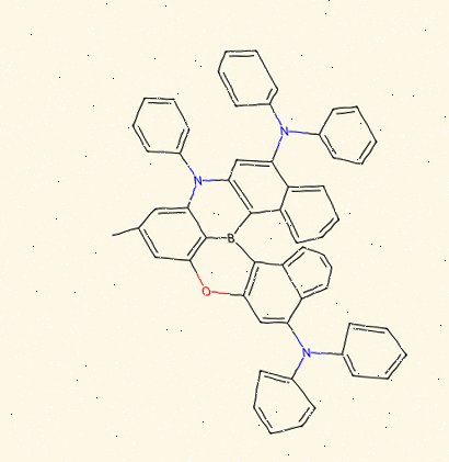 Cc1cc2c3c(c1)N(c1ccccc1)c1cc(N(c4ccccc4)c4ccccc4)c4ccccc4c1B3c1c(cc(N(c3ccccc3)c3ccccc3)c3ccccc13)O2